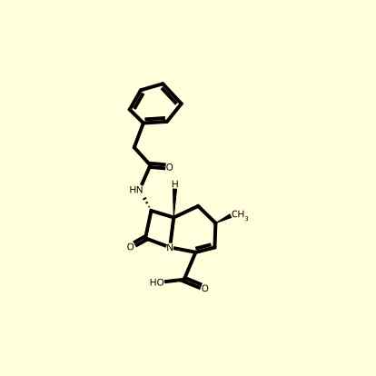 C[C@H]1C=C(C(=O)O)N2C(=O)[C@H](NC(=O)Cc3ccccc3)[C@@H]2C1